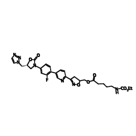 CCOC(=O)NCCCCC(=O)OCC1CC(c2ccc(-c3ccc(N4C[C@H](Cn5ccnn5)OC4=O)cc3F)cn2)=NO1